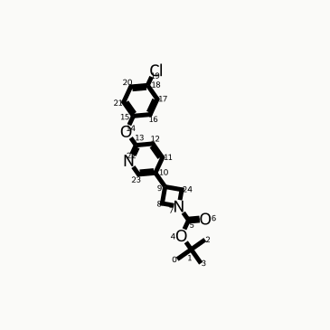 CC(C)(C)OC(=O)N1CC(c2ccc(Oc3ccc(Cl)cc3)nc2)C1